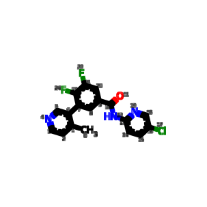 Cc1ccncc1-c1cc(C(=O)Nc2ccc(Cl)cn2)cc(F)c1F